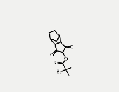 CCC(C)(C)C(=O)OC1C(=O)C2C3CCC(C3)C2C1=O